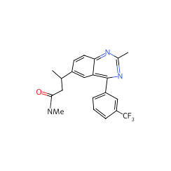 CNC(=O)CC(C)c1ccc2nc(C)nc(-c3cccc(C(F)(F)F)c3)c2c1